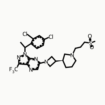 CC(c1ccc(Cl)cc1Cl)n1nc(C(F)(F)F)c2ncc(N3CC([C@@H]4CCCN(CCCS(C)(=O)=O)C4)C3)nc21